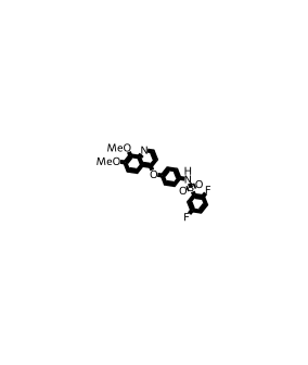 COc1ccc2c(Oc3ccc(NS(=O)(=O)c4cc(F)ccc4F)cc3)ccnc2c1OC